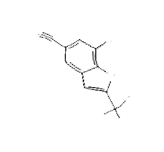 N#Cc1cc(Br)c2oc(C(F)(F)F)cc2c1